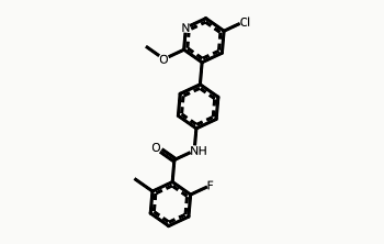 COc1ncc(Cl)cc1-c1ccc(NC(=O)c2c(C)cccc2F)cc1